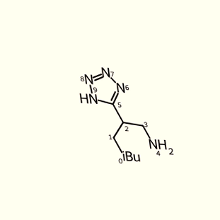 CCC(C)CC(CN)c1nnn[nH]1